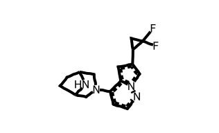 FC1(F)CC1c1cc2c(N3CC4CCC(C3)N4)ccnn2c1